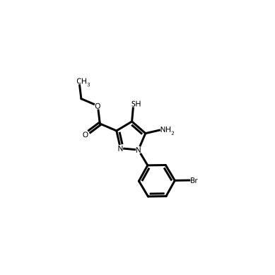 CCOC(=O)c1nn(-c2cccc(Br)c2)c(N)c1S